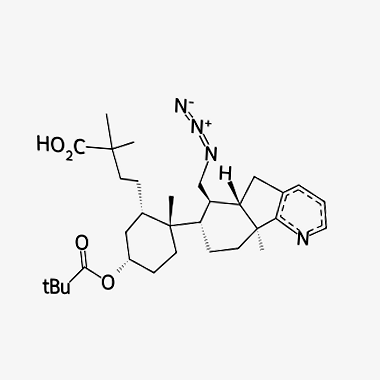 CC(C)(C)C(=O)O[C@H]1CC[C@@](C)([C@H]2CC[C@]3(C)c4ncccc4C[C@H]3[C@@H]2CN=[N+]=[N-])[C@@H](CCC(C)(C)C(=O)O)C1